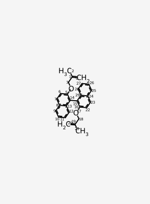 C=C(C)COc1ccc2ccccc2c1-c1c(OCC(=C)C)ccc2ccccc12